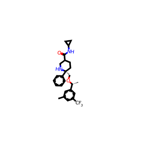 Cc1cc([C@@H](C)OC[C@@]2(c3ccccc3)CCC(C(=O)NC3CC3)CN2)cc(C(F)(F)F)c1